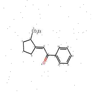 CCOC(=O)C1CCCC1=CC(=O)c1ccccc1